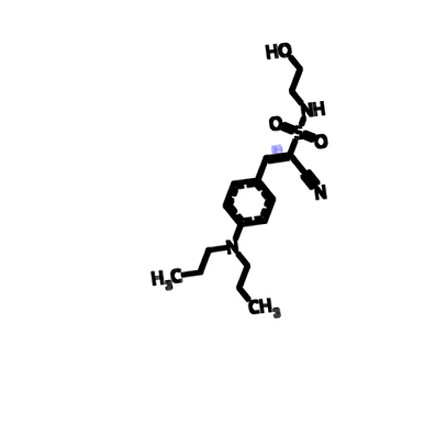 CCCN(CCC)c1ccc(/C=C(\C#N)S(=O)(=O)NCCO)cc1